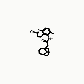 Cc1ccc2nc(Cl)ccc2c1NC(=O)CC12CCCC(CCC1)C2